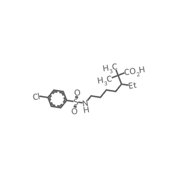 CCC(CCCCNS(=O)(=O)c1ccc(Cl)cc1)C(C)(C)C(=O)O